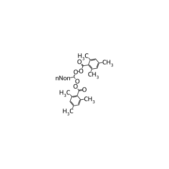 [CH2]CCCCCCCC[C](OOC(=O)c1c(C)cc(C)cc1C)OOC(=O)c1c(C)cc(C)cc1C